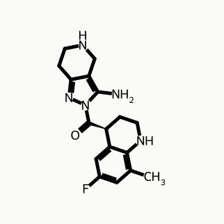 Cc1cc(F)cc2c1NCC[C@@H]2C(=O)n1nc2c(c1N)CNCC2